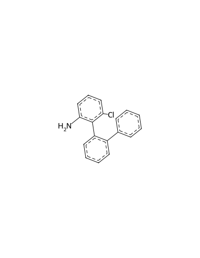 Nc1cccc(Cl)c1-c1ccccc1-c1ccccc1